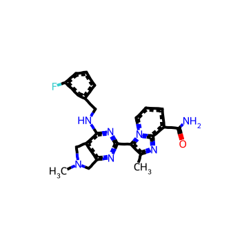 Cc1nc2c(C(N)=O)cccn2c1-c1nc2c(c(NCc3cccc(F)c3)n1)CN(C)C2